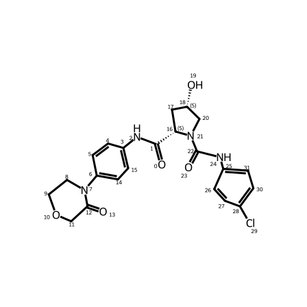 O=C(Nc1ccc(N2CCOCC2=O)cc1)[C@@H]1C[C@H](O)CN1C(=O)Nc1ccc(Cl)cc1